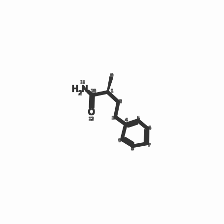 C[C@@H](CCc1ccccc1)C(N)=O